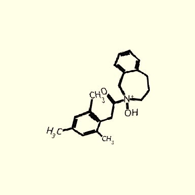 Cc1cc(C)c(CC(=O)[N+]2(O)CCCc3ccccc3C2)c(C)c1